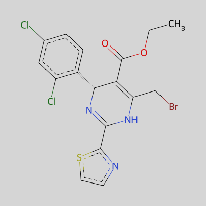 CCOC(=O)C1=C(CBr)NC(c2nccs2)=N[C@@H]1c1ccc(Cl)cc1Cl